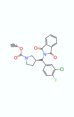 CC(C)(C)OC(=O)N1CC[C@H](C(c2ccc(F)c(Cl)c2)N2C(=O)c3ccccc3C2=O)C1